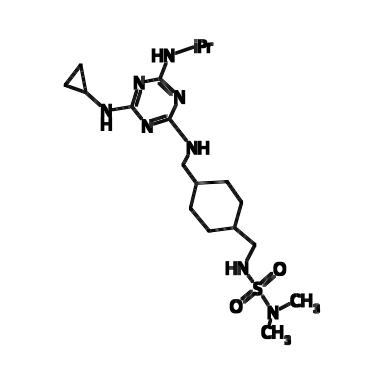 CC(C)Nc1nc(NCC2CCC(CNS(=O)(=O)N(C)C)CC2)nc(NC2CC2)n1